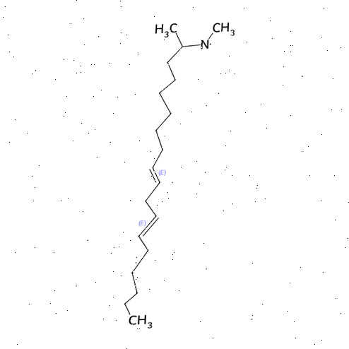 CCCCC/C=C/C/C=C/CCCCCCC(C)[N]C